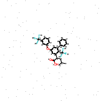 CC(C)CC(C(=O)O)c1cc(Oc2cccc(C(F)(F)F)c2)cc(-c2ccccc2)c1C(F)(F)F